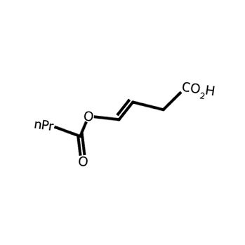 CCCC(=O)OC=CCC(=O)O